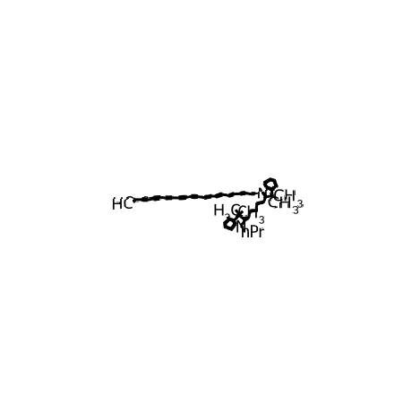 C#CC#CC#CC#CC#CC#CC#CC#CC#CC#CC#C[N+]1=C(/C=C/C=C/C=C2/N(CCC)c3ccccc3C2(C)C)C(C)(C)c2ccccc21